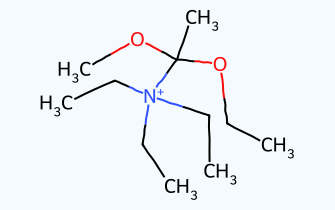 CCOC(C)(OC)[N+](CC)(CC)CC